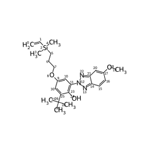 C=C[Si](C)(C)CCCOc1cc(-n2nc3ccc(OC)cc3n2)c(O)c(C(C)(C)C)c1